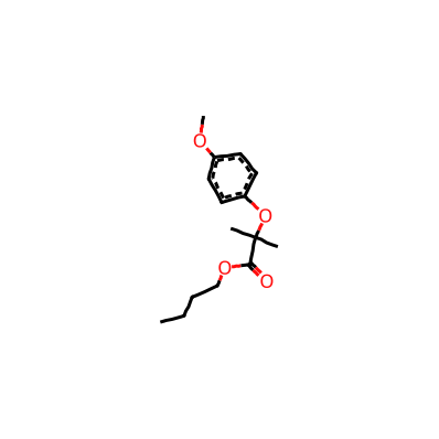 CCCCOC(=O)C(C)(C)Oc1ccc(OC)cc1